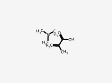 C=C(C)C(=O)O.C[Si](C)C